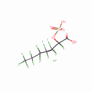 F.O=C(O)C(F)(OS(=O)(=O)O)C(F)(F)C(F)(F)C(F)(F)C(F)(F)C(F)(F)F